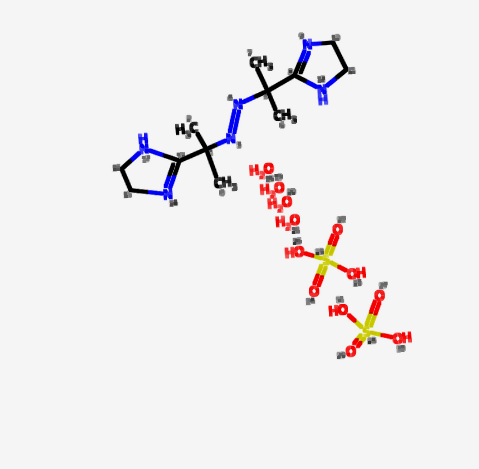 CC(C)(N=NC(C)(C)C1=NCCN1)C1=NCCN1.O.O.O.O.O=S(=O)(O)O.O=S(=O)(O)O